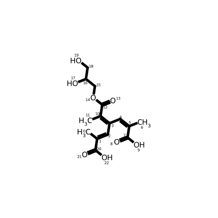 CC(=CC(C=C(C)C(=O)O)=C(C)C(=O)OCC(O)CO)C(=O)O